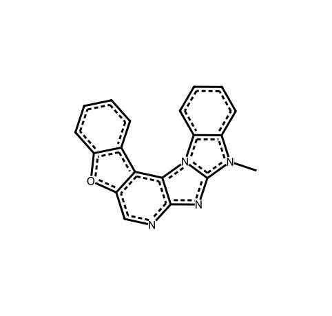 Cn1c2ccccc2n2c3c(ncc4oc5ccccc5c43)nc12